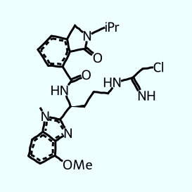 COc1cccc2c1nc([C@H](CCCNC(=N)CCl)NC(=O)c1cccc3c1C(=O)N(C(C)C)C3)n2C